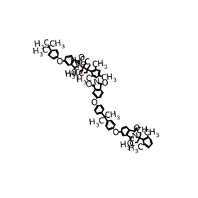 CCC(CC)(c1c(C)cccc1C)N1C(=O)c2ccc(Oc3ccc(C(C)(C)c4ccc(Oc5ccc6c(c5)C(=O)N(c5c(C)cc(C)c(C(CC)(CC)C(CC)(CC)N7C(=O)c8ccc(Oc9ccc(C(C)(C)C)cc9)cc8C7=O)c5C)C6=O)cc4)cc3)cc2C1=O